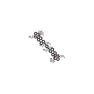 CC(C)c1cccc(C(C)C)c1N1C(=O)c2ccc3c4cccc5c(C(C)(C)c6ccc(C(C)(C)c7ccc8c9ccc%10c%11c(ccc(c%12cccc7c%128)c%119)C(=O)N(c7c(C(C)C)cccc7C(C)C)C%10=O)cc6)ccc(c6ccc(c2c36)C1=O)c54